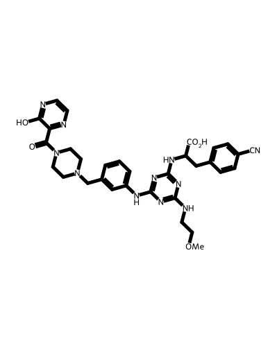 COCCNc1nc(Nc2cccc(CN3CCN(C(=O)c4nccnc4O)CC3)c2)nc(NC(Cc2ccc(C#N)cc2)C(=O)O)n1